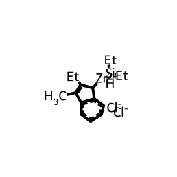 CCC1=C(C)c2ccccc2[CH]1[Zr+2][SiH](CC)CC.[Cl-].[Cl-]